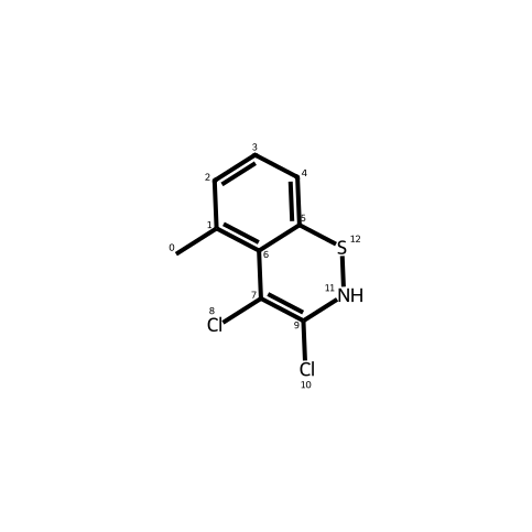 Cc1cccc2c1C(Cl)=C(Cl)NS2